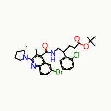 Cc1c(N2CCC[C@@H]2C)nc2ccc(Br)cc2c1C(=O)NCC(CCC(=O)OC(C)(C)C)c1ccccc1Cl